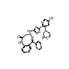 C[C@H]1CN(c2cc(C#N)cnc2-c2nnc(N[C@@H]3CC(=O)Nc4ccccc4/C(c4ccccc4)=N\3)o2)CCO1